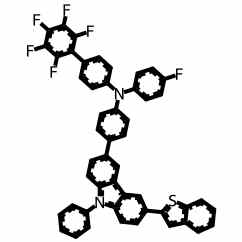 Fc1ccc(N(c2ccc(-c3ccc4c(c3)c3cc(-c5cc6ccccc6s5)ccc3n4-c3ccccc3)cc2)c2ccc(-c3c(F)c(F)c(F)c(F)c3F)cc2)cc1